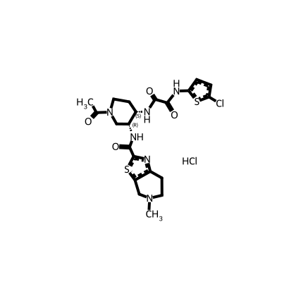 CC(=O)N1CC[C@H](NC(=O)C(=O)Nc2ccc(Cl)s2)[C@H](NC(=O)c2nc3c(s2)CN(C)CC3)C1.Cl